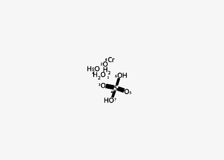 O.O.O.O=S(=O)(O)O.[Cr]